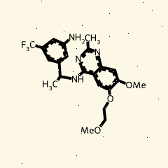 COCCOc1cc2c(NC(C)c3cc(N)cc(C(F)(F)F)c3)nc(C)nc2cc1OC